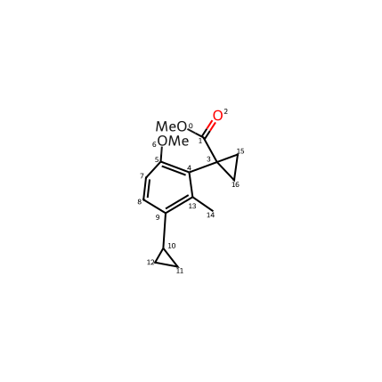 COC(=O)C1(c2c(OC)ccc(C3CC3)c2C)CC1